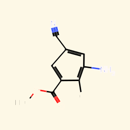 COC(=O)c1cc(C#N)cc(N)c1C